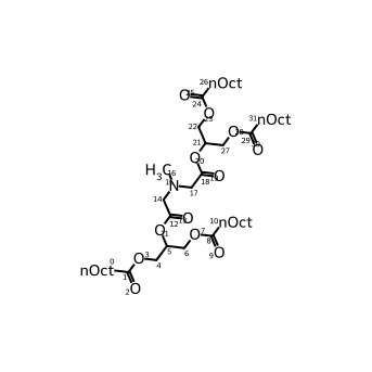 CCCCCCCCC(=O)OCC(COC(=O)CCCCCCCC)OC(=O)CN(C)CC(=O)OC(COC(=O)CCCCCCCC)COC(=O)CCCCCCCC